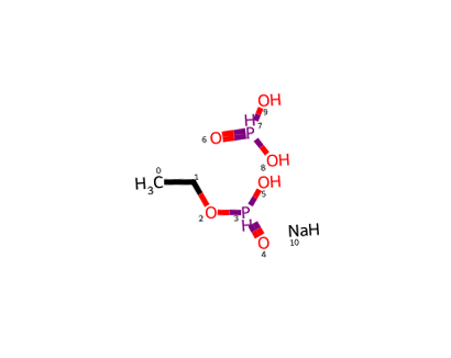 CCO[PH](=O)O.O=[PH](O)O.[NaH]